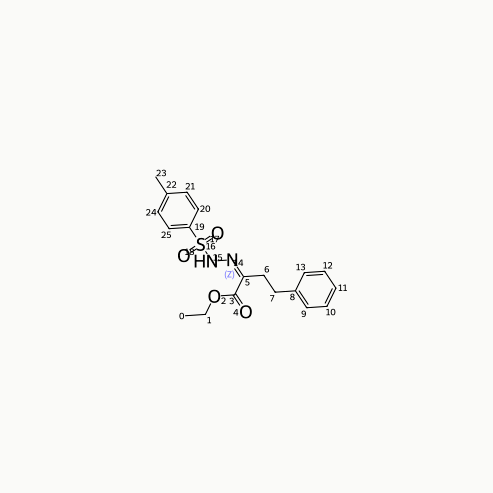 CCOC(=O)/C(CCc1ccccc1)=N\NS(=O)(=O)c1ccc(C)cc1